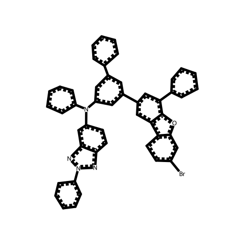 Brc1ccc2c(c1)oc1c(-c3ccccc3)cc(-c3cc(-c4ccccc4)cc(N(c4ccccc4)c4ccc5nn(-c6ccccc6)nc5c4)c3)cc12